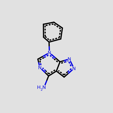 Nc1ncn(-c2ccccc2)c2nncc1-2